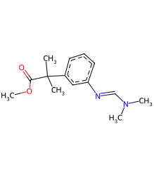 COC(=O)C(C)(C)c1cccc(/N=C/N(C)C)c1